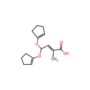 CC(=CC(OC1=CCCC1)OC1=CCCC1)C(=O)O